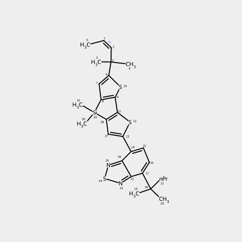 C/C=C\C(C)(C)c1cc2c(s1)-c1sc(-c3ccc(C(C)(C)CCC)c4nsnc34)cc1[Si]2(C)C